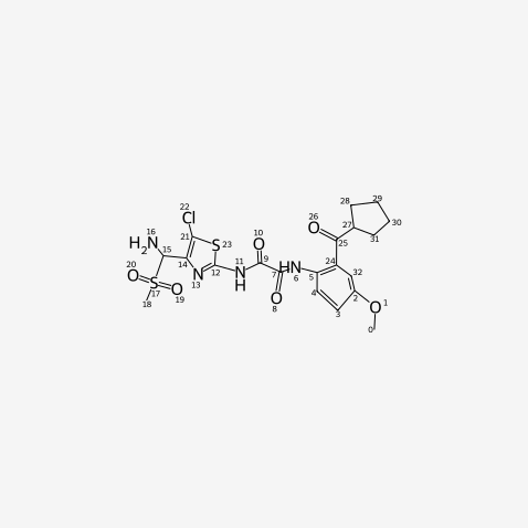 COc1ccc(NC(=O)C(=O)Nc2nc(C(N)S(C)(=O)=O)c(Cl)s2)c(C(=O)C2CCCC2)c1